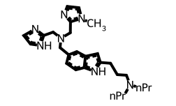 CCCN(CCC)CCCc1cc2cc(CN(Cc3ncc[nH]3)Cc3nccn3C)ccc2[nH]1